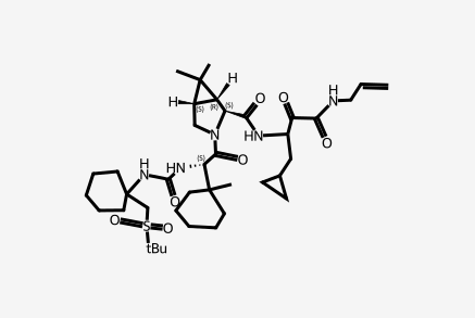 C=CCNC(=O)C(=O)C(CC1CC1)NC(=O)[C@@H]1[C@@H]2[C@H](CN1C(=O)[C@@H](NC(=O)NC1(CS(=O)(=O)C(C)(C)C)CCCCC1)C1(C)CCCCC1)C2(C)C